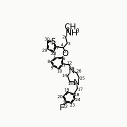 CNCCC(Oc1ccccc1CN1CCN(Cc2ccc(F)cc2)CC1)c1cccs1